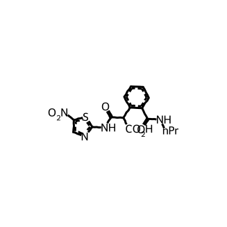 CCCNC(=O)c1ccccc1C(C(=O)O)C(=O)Nc1ncc([N+](=O)[O-])s1